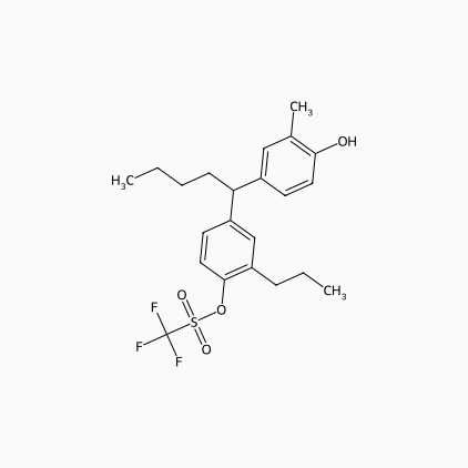 CCCCC(c1ccc(O)c(C)c1)c1ccc(OS(=O)(=O)C(F)(F)F)c(CCC)c1